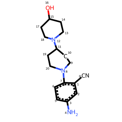 N#Cc1cc(N)ccc1N1CCC(N2CCC(O)CC2)CC1